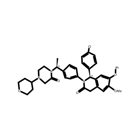 COc1cc2c(cc1OC(C)C)[C@H](c1ccc(Cl)cc1)N(c1ccc([C@H](C)N3CCN(C4CCOCC4)CC3=O)cc1)C(=O)C2